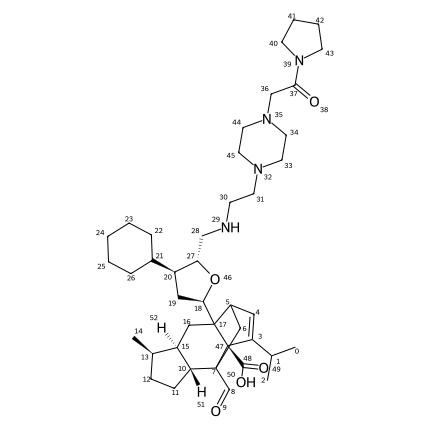 CC(C)C1=CC2CC3(C=O)[C@@H]4CC[C@@H](C)[C@H]4CC2([C@H]2C[C@@H](C4CCCCC4)[C@H](CNCCN4CCN(CC(=O)N5CCCC5)CC4)O2)[C@]13C(=O)O